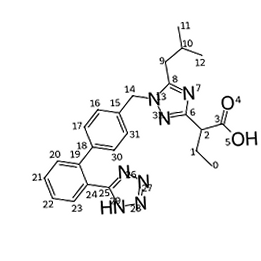 CCC(C(=O)O)c1nc(CC(C)C)n(Cc2ccc(-c3ccccc3-c3nnn[nH]3)cc2)n1